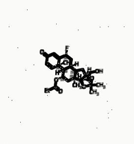 CCC(=O)O[C@H]1C[C@@]2(C)[C@@H](C[C@H]3OC(C)(C)O[C@]32C(=O)CO)[C@@H]2C[C@H](F)C3=CC(=O)C=C[C@]3(C)[C@H]21